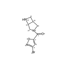 O=C(c1cc(Br)no1)N1CC2CNC2C1